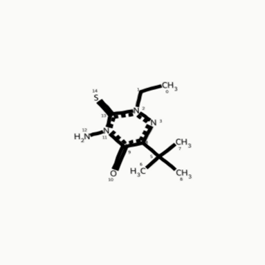 CCn1nc(C(C)(C)C)c(=O)n(N)c1=S